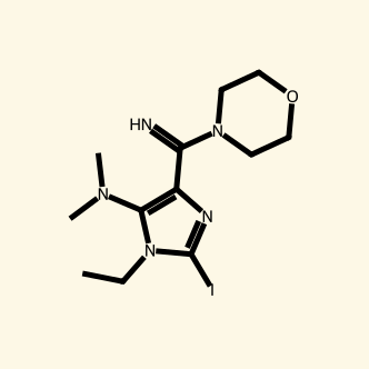 CCn1c(I)nc(C(=N)N2CCOCC2)c1N(C)C